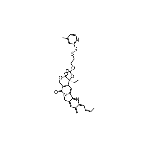 C=c1cc2c(n/c1=C/C=C\C)-c1cc3c(c(=O)n1C2)COC(=O)[C@@]3(CC)OC(=O)OCCSSc1cc(C)ccn1